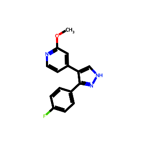 COc1cc(-c2c[nH]nc2-c2ccc(F)cc2)ccn1